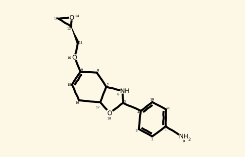 Nc1ccc(C2NC3CC(OC[C@H]4CO4)=CCC3O2)cc1